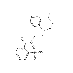 CCC(C)CC(CCOC(=O)c1ccccc1S(=O)(=O)O)c1ccccc1